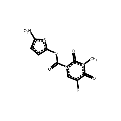 Cn1c(=O)c(F)cn(C(=O)Oc2ccc([N+](=O)[O-])s2)c1=O